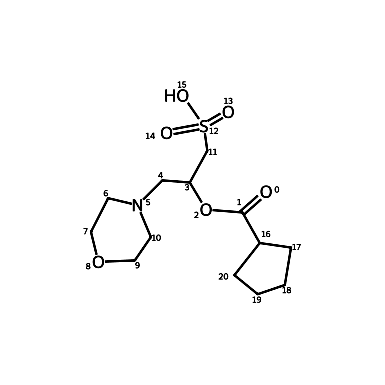 O=C(OC(CN1CCOCC1)CS(=O)(=O)O)C1CCCC1